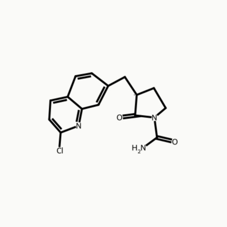 NC(=O)N1CC[C](Cc2ccc3ccc(Cl)nc3c2)C1=O